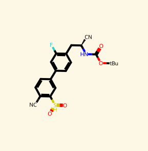 CC(C)(C)OC(=O)N[C@H](C#N)Cc1ccc(-c2ccc(C#N)c([SH](=O)=O)c2)cc1F